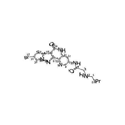 CC(C)CNCC(=O)Nc1cnc2c(c1)[nH]c(=O)c1c2nn2cc(Br)sc12